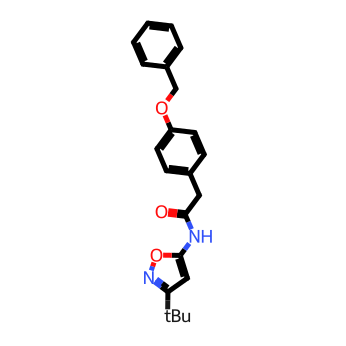 CC(C)(C)c1cc(NC(=O)Cc2ccc(OCc3ccccc3)cc2)on1